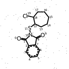 O=C1c2ccccc2C(=O)N1SC1CCCCCC1Cl